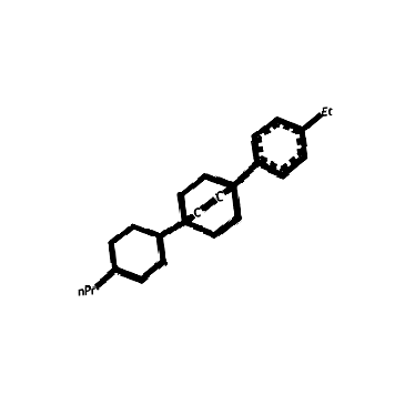 CCCC1CCC(C23CCC(c4ccc(CC)cc4)(CC2)CC3)CC1